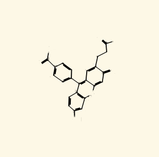 O=C(O)CCc1cc2c(-c3ccc(C(=O)O)cc3)c3ccc(O)cc3oc-2cc1=O